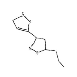 CCCC1CC(C2=CCSS2)SS1